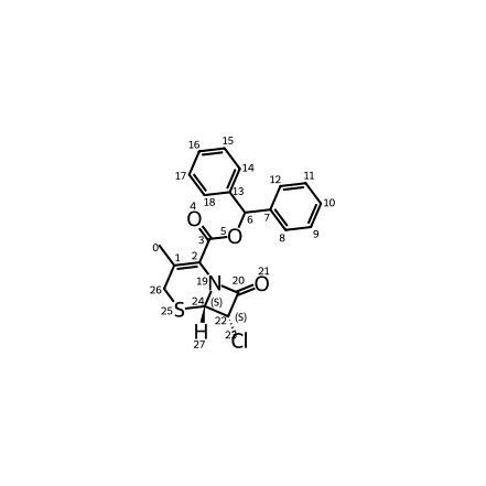 CC1=C(C(=O)OC(c2ccccc2)c2ccccc2)N2C(=O)[C@H](Cl)[C@@H]2SC1